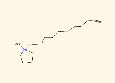 CCCCCCCCCCCCCCCCCCC[N+]1(CCC)CCCC1